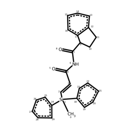 C[Si](C=CC(=O)NC(=O)C1CCc2ccccc21)(c1ccccc1)c1ccccc1